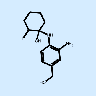 Nc1cc(CO)ccc1NC1(O)CCCCC1I